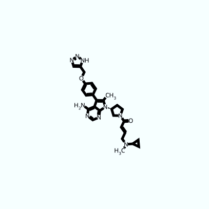 Cc1c(-c2ccc(OCc3cnn[nH]3)cc2)c2c(N)ncnc2n1[C@@H]1CCN(C(=O)/C=C/CN(C)C2CC2)C1